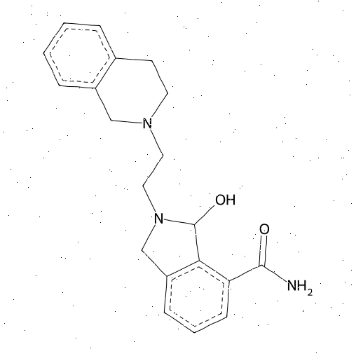 NC(=O)c1cccc2c1C(O)N(CCN1CCc3ccccc3C1)C2